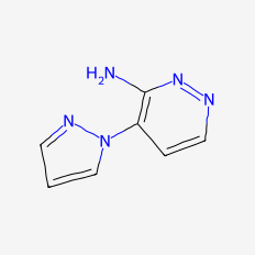 Nc1nnccc1-n1cccn1